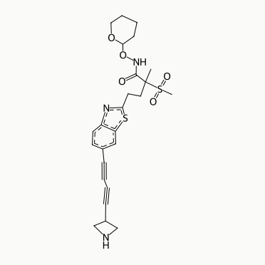 CC(CCc1nc2ccc(C#CC#CC3CNC3)cc2s1)(C(=O)NOC1CCCCO1)S(C)(=O)=O